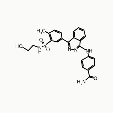 Cc1ccc(-c2nnc(Nc3ccc(C(N)=O)cc3)c3ccccc23)cc1S(=O)(=O)NCCO